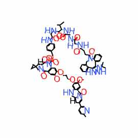 COc1cc2c(cc1OCCCOc1cc3c(cc1OC)C(=O)N1CC4(CC4)C[C@H]1C(O)N3C(=O)OCc1ccc(NC(=O)[C@H](C)NC(=O)[C@@H](NC(=O)CNC(=O)CNC(=O)CCC(=O)N3Cc4ccccc4C4=C(c5ccccc53)N(C(C)C)NN4)C(C)C)cc1)NC[C@@H]1CC(c3ccc(C)nc3)=CN1C2=O